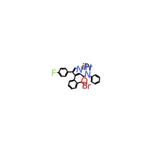 CC(C)n1cc(-c2ccc(F)cc2)c(-c2ccccc2CBr)c1C(=O)Nc1ccccc1